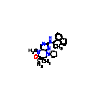 CC(Nc1ncc2c(n1)N(C1CCCC1)CC(C)(C)C(=O)N2C)c1cccc2ccccc12